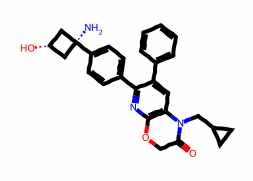 N[C@]1(c2ccc(-c3nc4c(cc3-c3ccccc3)N(CC3CC3)C(=O)CO4)cc2)C[C@H](O)C1